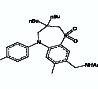 CCCCC1(CCCC)CN(c2ccc(C)cc2)c2cc(C)c(CNC(C)=O)cc2S(=O)(=O)C1